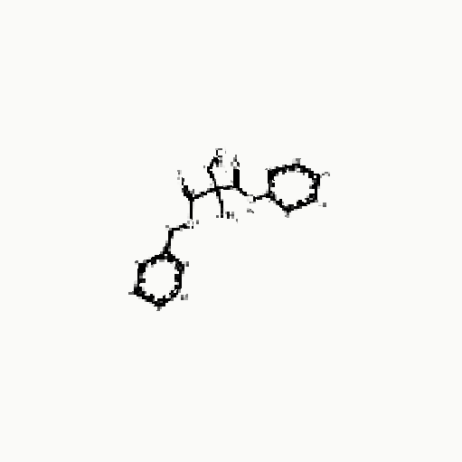 CCC(C)(C(=O)OCc1ccccc1)C(=O)Oc1ccccc1